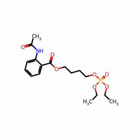 CCOP(=O)(OCC)OCCCCOC(=O)c1ccccc1NC(C)=O